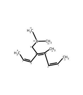 C\C=C/C(C)=C(\C=C/C)CB(C)C